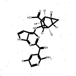 N=C(c1nc(N[C@H]2[C@@H]3CC[C@@H]([C@@H]4C[C@@H]43)[C@@H]2C(=O)O)c2cc[nH]c2n1)c1cc(F)cnc1N